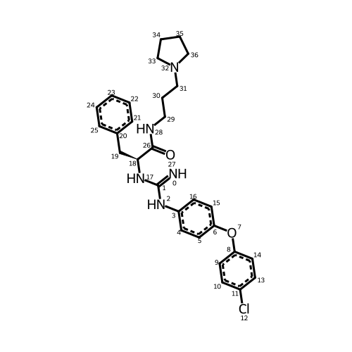 N=C(Nc1ccc(Oc2ccc(Cl)cc2)cc1)N[C@@H](Cc1ccccc1)C(=O)NCCCN1CCCC1